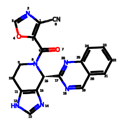 N#Cc1ncoc1C(=O)N1CCc2[nH]cnc2[C@H]1c1ncc2ccccc2n1